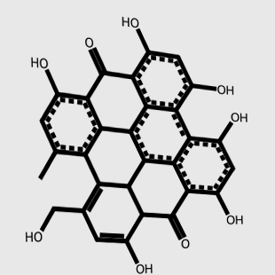 Cc1cc(O)c2c3c1C1=C(CO)C=C(O)C4C(=O)c5c(O)cc(O)c6c5c(c-3c3c(c(O)cc(O)c36)C2=O)C14